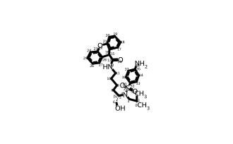 CC(C)CN([C@H](CO)CCCCNC(=O)C1c2ccccc2Oc2ccccc21)S(=O)(=O)c1ccc(N)cc1